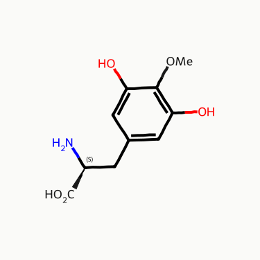 COc1c(O)cc(C[C@H](N)C(=O)O)cc1O